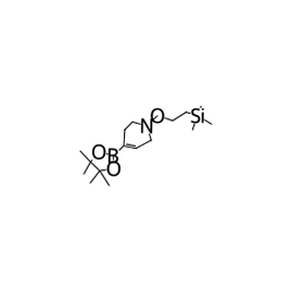 CC1(C)OB(C2=CCN(OCC[Si](C)(C)C)CC2)OC1(C)C